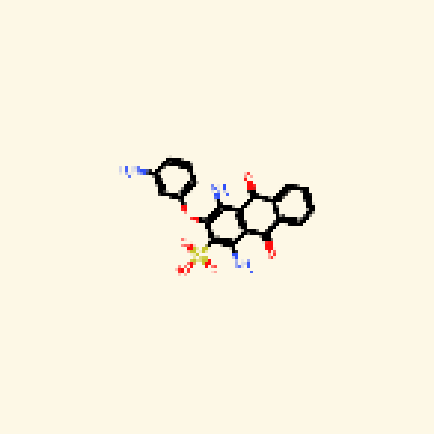 Nc1cccc(Oc2c(N)c3c(c(N)c2S(=O)(=O)O)C(=O)c2ccccc2C3=O)c1